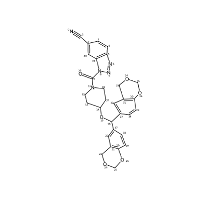 N#Cc1ccc2nnn(C(=O)N3CCC(OC(c4ccc5c(c4)COCO5)c4ccc5c(c4)COCO5)CC3)c2c1